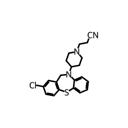 N#CCCN1CCC(N2Cc3cc(Cl)ccc3Sc3ccccc32)CC1